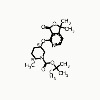 C[C@@H]1CC[C@@H](Oc2nccc3c2C(=O)OC3(C)C)CN1C(=O)OC(C)(C)C